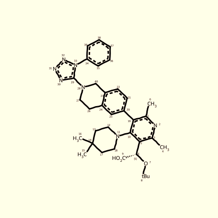 Cc1nc(C)c([C@H](OC(C)(C)C)C(=O)O)c(N2CCC(C)(C)CC2)c1-c1ccc2c(c1)CCN(c1nnnn1-c1ccccc1)C2